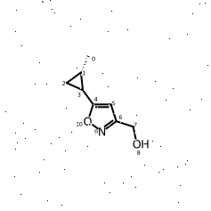 C[C@H]1CC1c1cc(CO)no1